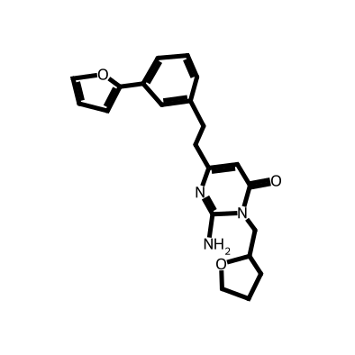 Nc1nc(CCc2cccc(-c3ccco3)c2)cc(=O)n1CC1CCCO1